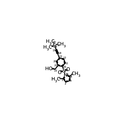 Cc1ccc(C)n1S(=O)(=O)c1ccc(C#C[Si](C)(C)C)cc1CO